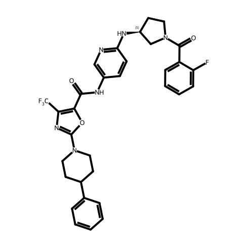 O=C(Nc1ccc(N[C@H]2CCN(C(=O)c3ccccc3F)C2)nc1)c1oc(N2CCC(c3ccccc3)CC2)nc1C(F)(F)F